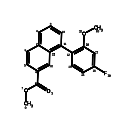 COC(=O)c1ccc2cccc(-c3ccc(F)cc3OC)c2c1